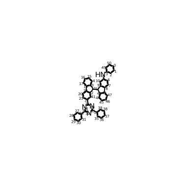 c1ccc(Nc2ccc3c(c2)C(C2c4ccccc4-c4ccc(-c5nc(-c6ccccc6)nc(-c6ccccc6)n5)cc42)c2ccccc2-3)cc1